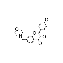 O=C1C=CC(=C2Oc3cc(CN4CCOCC4)ccc3C(=O)C2=O)C=C1